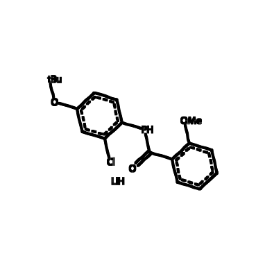 COc1ccccc1C(=O)Pc1ccc(OC(C)(C)C)cc1Cl.[LiH]